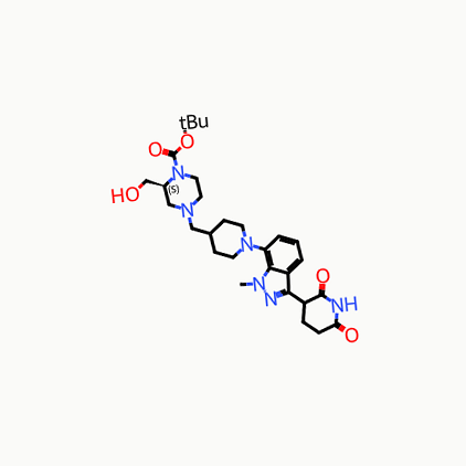 Cn1nc(C2CCC(=O)NC2=O)c2cccc(N3CCC(CN4CCN(C(=O)OC(C)(C)C)[C@H](CO)C4)CC3)c21